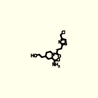 NC(=O)C1CC(CCO)CCN1C(=O)[CH]Cc1nc(CCl)cs1